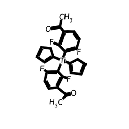 CC(=O)c1ccc(F)[c]([Ti]([C]2=CC=CC2)([C]2=CC=CC2)[c]2c(F)ccc(C(C)=O)c2F)c1F